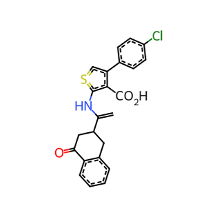 C=C(Nc1scc(-c2ccc(Cl)cc2)c1C(=O)O)C1CC(=O)c2ccccc2C1